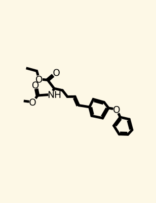 CCOC(=O)C(CCC=Cc1ccc(Oc2ccccc2)cc1)NC(=O)OC